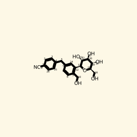 N#Cc1ccc(Cc2ccc(CO)c([C@@H]3O[C@H](CO)[C@@H](O)[C@H](O)[C@H]3O)c2)cc1